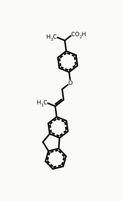 C/C(=C\COc1ccc(C(C)C(=O)O)cc1)c1ccc2c(c1)Cc1ccccc1-2